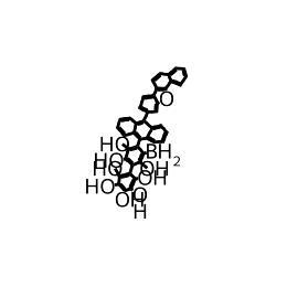 Bc1c(O)c(-c2c(O)c(O)c(O)c(O)c2O)c(O)c(O)c1-c1c2ccccc2c(-c2ccc3c(c2)oc2c4ccccc4ccc32)c2ccccc12